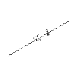 CCCCCCCCCCCCCCCCCC(=O)N[C@@H](CCCCNC(=O)CCCCCCCCCCCCC)C(C)C